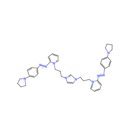 c1cc[n+](CCCn2cc[n+](CCC[n+]3ccccc3/N=N/c3ccc(N4CCCC4)cc3)c2)c(/N=N/c2ccc(N3CCCC3)cc2)c1